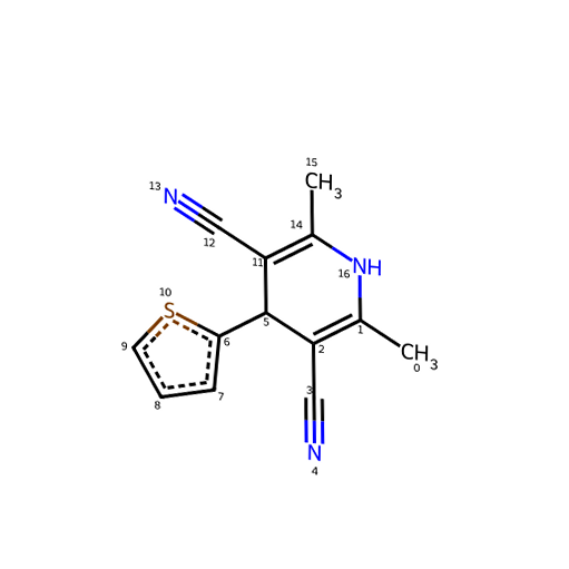 CC1=C(C#N)C(c2cccs2)C(C#N)=C(C)N1